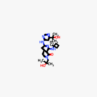 CC(C)(O)Cn1ccc2cc(Nc3cc(C(C)(C)O)ncn3)nc(NC3(C)CCC3)c2c1=O